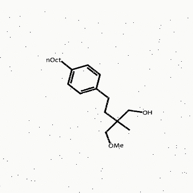 CCCCCCCCc1ccc(CCC(C)(CO)COC)cc1